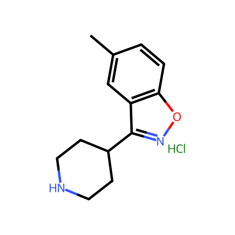 Cc1ccc2onc(C3CCNCC3)c2c1.Cl